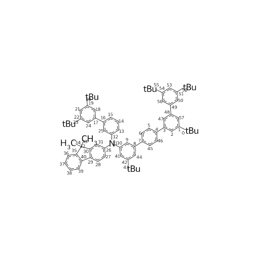 CC(C)(C)c1cc(-c2ccc(-c3cc(N(c4cccc(-c5cc(C(C)(C)C)cc(C(C)(C)C)c5)c4)c4ccc5c(c4)C(C)(C)c4ccccc4-5)cc(C(C)(C)C)c3)cc2)cc(-c2cc(C(C)(C)C)cc(C(C)(C)C)c2)c1